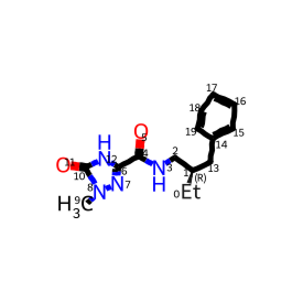 CC[C@@H](CNC(=O)c1nn(C)c(=O)[nH]1)Cc1ccccc1